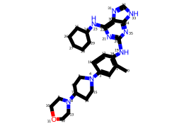 Cc1cc(N2CCC(N3CCOCC3)CC2)ccc1Nc1nc(NC2CCCCC2)c2nc[nH]c2n1